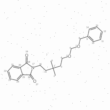 CC(C)(CCOCOCc1ccccc1)CCN1C(=O)c2ccccc2C1=O